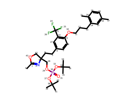 CC1=NC(CCc2ccc(OCCCc3cc(C)ccc3C)c(C(F)(F)F)c2)(COP(=O)(OC(C)(C)C)OC(C)(C)C)CO1